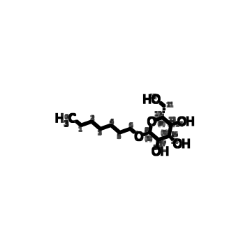 CCCCCCCO[C@H]1O[C@H](CO)[C@@H](O)[C@@H](O)[C@H]1O